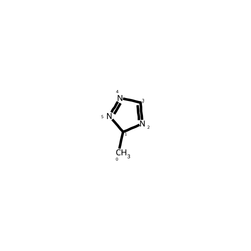 CC1N=[C]N=N1